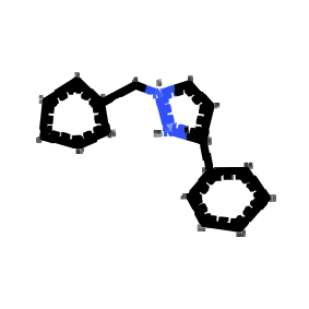 c1ccc(Cn2ccc(-c3ccccc3)n2)cc1